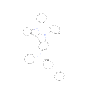 Fc1ccc(-n2c3ccccc3c3c4cc(N(c5ccccc5)c5ccc(-c6ccccc6)cc5)ccc4n(-c4ccc(F)cc4)c32)cc1